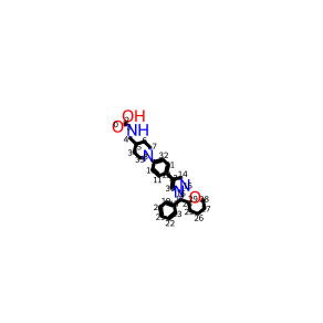 O=C(O)NCC1CCN(c2ccc(-c3cnn(C(c4ccccc4)C4CCCCO4)c3)cc2)CC1